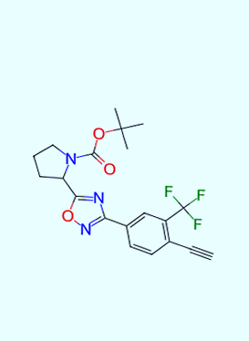 C#Cc1ccc(-c2noc(C3CCCN3C(=O)OC(C)(C)C)n2)cc1C(F)(F)F